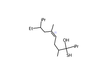 CCC(C/C(C)=C\CC(C)C(O)(S)C(C)C)C(C)C